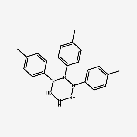 Cc1ccc(B2N(c3ccc(C)cc3)BNBN2c2ccc(C)cc2)cc1